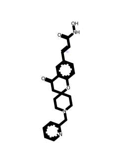 O=C(/C=C/c1ccc2c(c1)C(=O)CC1(CCN(Cc3ccccn3)CC1)O2)NO